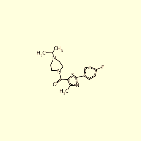 Cc1nc(-c2ccc(F)cc2)sc1C(=O)N1CCN(C(C)C)CC1